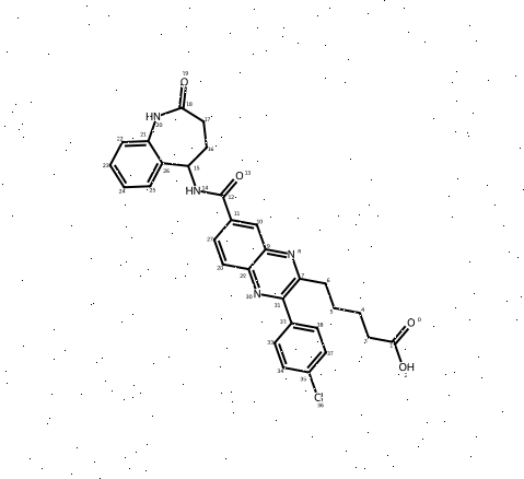 O=C(O)CCCCc1nc2cc(C(=O)NC3CCC(=O)Nc4ccccc43)ccc2nc1-c1ccc(Cl)cc1